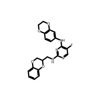 Fc1cnc(NCC2COc3ccccc3O2)nc1Nc1ccc2c(c1)OCCO2